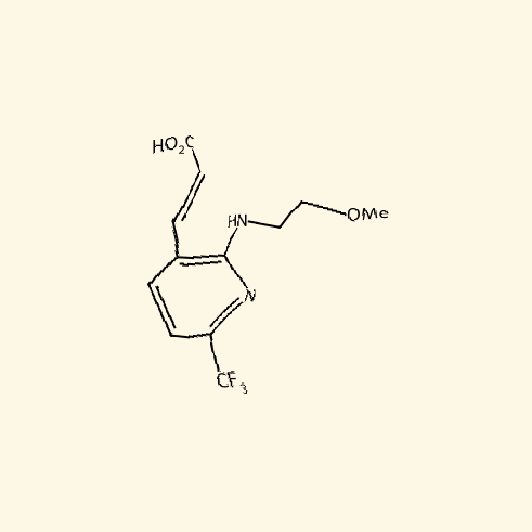 COCCNc1nc(C(F)(F)F)ccc1/C=C/C(=O)O